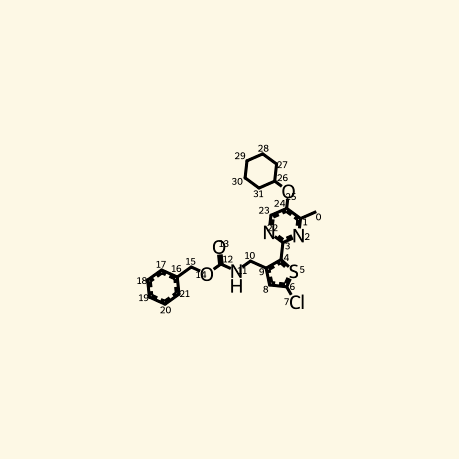 Cc1nc(-c2sc(Cl)cc2CNC(=O)OCc2ccccc2)ncc1OC1CCCCC1